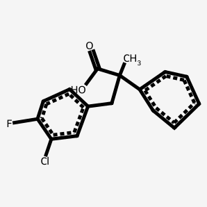 CC(Cc1ccc(F)c(Cl)c1)(C(=O)O)c1ccccc1